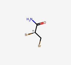 NC(=O)[C@H](Br)CBr